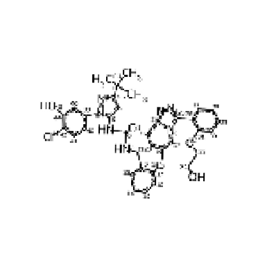 CC(C)(C)c1cc(NC(=O)NCc2ccccc2Sc2ccc3nnc(-c4ccccc4OCCO)n3c2)n(-c2ccc(Cl)c(O)c2)n1